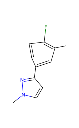 Cc1cc(-c2ccn(C)n2)ccc1F